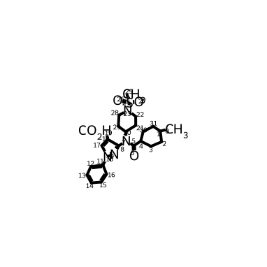 CC1CCC(C(=O)N(c2nn(-c3ccccc3)cc2C(=O)O)C2CCN(S(C)(=O)=O)CC2)CC1